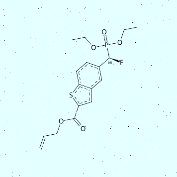 C=CCOC(=O)c1cc2cc([C@H](F)P(=O)(OCC)OCC)ccc2s1